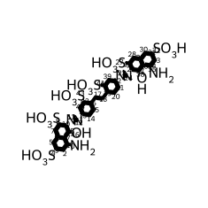 Nc1cc(S(=O)(=O)O)cc2cc(S(=O)(=O)O)c(N=Nc3ccc(C=Cc4ccc(N=Nc5c(S(=O)(=O)O)cc6cc(S(=O)(=O)O)cc(N)c6c5O)cc4S(=O)(=O)O)c(S(=O)(=O)O)c3)c(O)c12